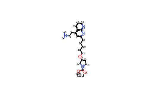 CN(C)CCc1cc(CCCCCO[C@@H]2CCN(C(=O)OC(C)(C)C)C2)nc2ncccc12